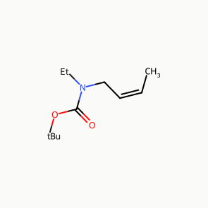 C/C=C\CN(CC)C(=O)OC(C)(C)C